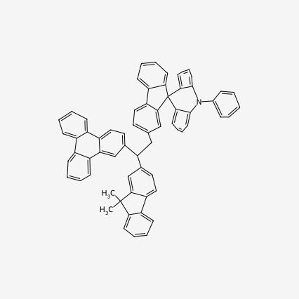 CC1(C)c2ccccc2-c2ccc(C(Cc3ccc4c(c3)C3(c5ccccc5-4)c4ccccc4N(c4ccccc4)c4ccccc43)c3ccc4c5ccccc5c5ccccc5c4c3)cc21